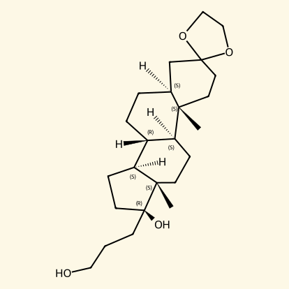 C[C@]12CCC3(C[C@@H]1CC[C@@H]1[C@@H]2CC[C@@]2(C)[C@H]1CC[C@@]2(O)CCCO)OCCO3